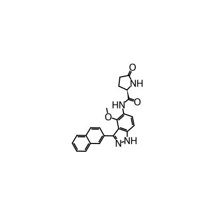 COc1c(NC(=O)[C@H]2CCC(=O)N2)ccc2[nH]nc(-c3ccc4ccccc4c3)c12